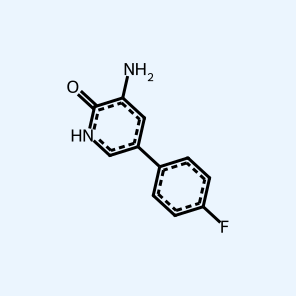 Nc1cc(-c2ccc(F)cc2)c[nH]c1=O